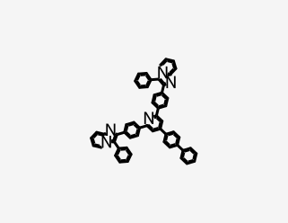 c1ccc(-c2ccc(-c3cc(-c4ccc(-c5nc6ccccn6c5-c5ccccc5)cc4)nc(-c4ccc(-c5nc6ccccn6c5-c5ccccc5)cc4)c3)cc2)cc1